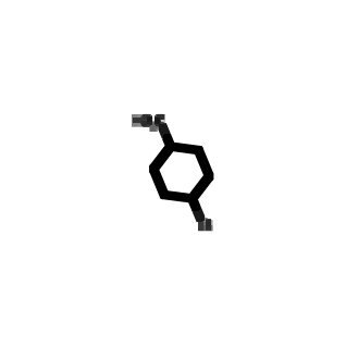 CCC1CCC(C(=O)O)CC1